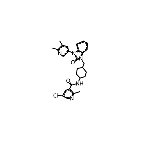 Cc1cc(-n2c(=O)n(CC3CCC(NC(=O)c4cc(Cl)cnc4C)CC3)c3ccccc32)cnc1C